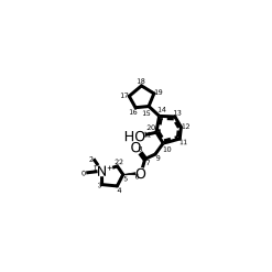 C[N+]1(C)CC[C@H](OC(=O)Cc2cccc(C3CCCC3)c2O)C1